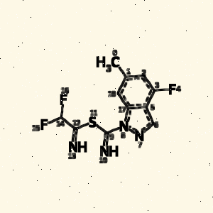 Cc1cc(F)c2cnn(C(=N)SC(=N)C(F)F)c2c1